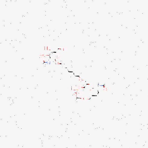 CC(=O)N[C@@H]1CC[C@@H](CO)O[C@H]1OC(COCCCCCCCOC1O[C@H](CO)[C@H](O)[C@H](O)[C@H]1NC(C)=O)COP(=O)(O)OC(C)C